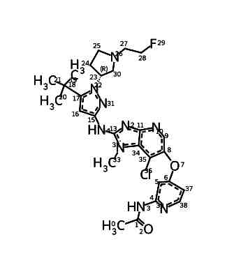 CC(=O)Nc1cc(Oc2cnc3nc(Nc4cc(C(C)(C)C)n([C@@H]5CCN(CCF)C5)n4)n(C)c3c2Cl)ccn1